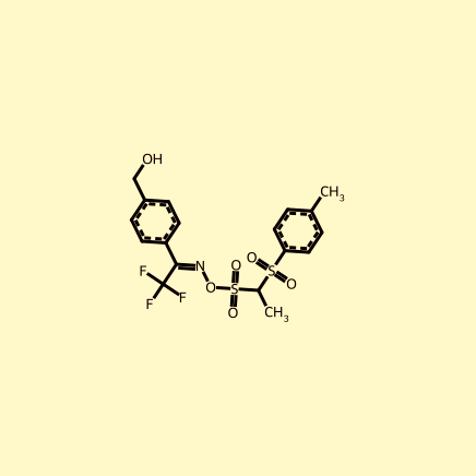 Cc1ccc(S(=O)(=O)C(C)S(=O)(=O)ON=C(c2ccc(CO)cc2)C(F)(F)F)cc1